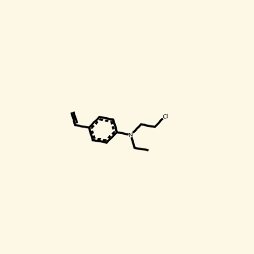 [CH]=Cc1ccc(N(CC)CCCl)cc1